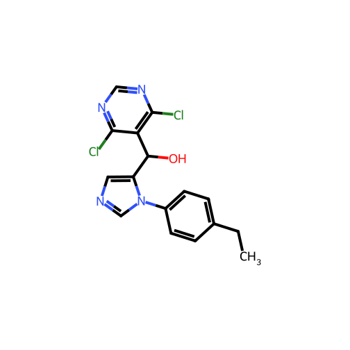 CCc1ccc(-n2cncc2C(O)c2c(Cl)ncnc2Cl)cc1